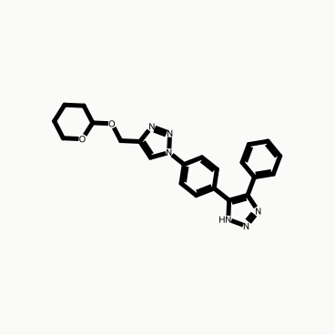 c1ccc(-c2nn[nH]c2-c2ccc(-n3cc(COC4CCCCO4)nn3)cc2)cc1